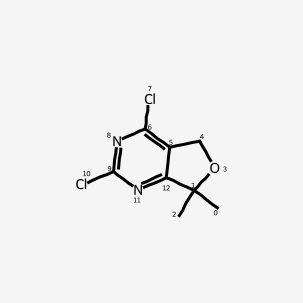 CC1(C)OCc2c(Cl)nc(Cl)nc21